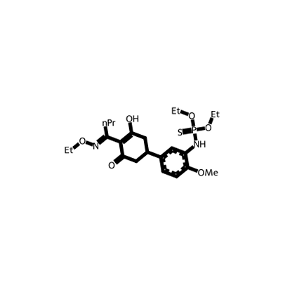 CCCC(=NOCC)C1=C(O)CC(c2ccc(OC)c(NP(=S)(OCC)OCC)c2)CC1=O